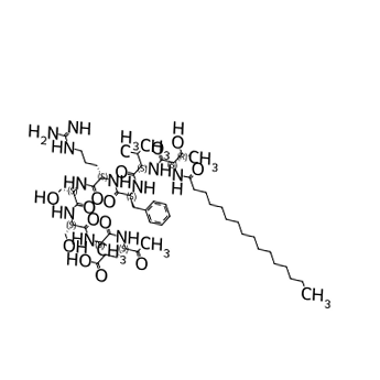 CCCCCCCCCCCCCCCC(=O)N[C@H](C(=O)N[C@H](C(=O)N[C@@H](Cc1ccccc1)C(=O)N[C@@H](CCCNC(=N)N)C(=O)N[C@@H](CO)C(=O)N[C@@H](CO)C(=O)N[C@@H](C)C(=O)N[C@@H](CCC(=O)O)C(C)=O)C(C)C)[C@@H](C)O